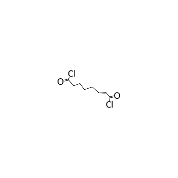 O=C(Cl)C=CCCCCC(=O)Cl